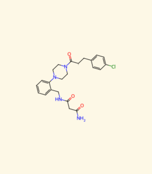 NC(=O)CC(=O)NCc1ccccc1N1CCN(C(=O)[CH]Cc2ccc(Cl)cc2)CC1